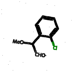 COC([C]=O)c1ccccc1Cl